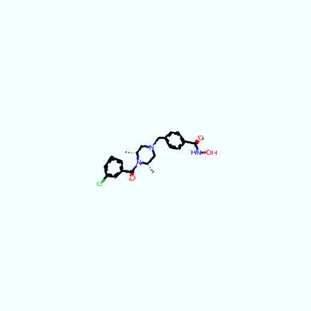 C[C@@H]1CN(Cc2ccc(C(=O)NO)cc2)C[C@H](C)N1C(=O)c1cccc(Cl)c1